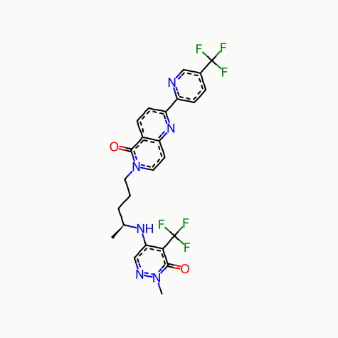 C[C@@H](CCCn1ccc2nc(-c3ccc(C(F)(F)F)cn3)ccc2c1=O)Nc1cnn(C)c(=O)c1C(F)(F)F